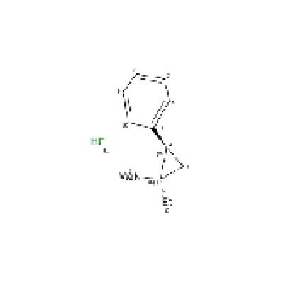 CC[C@@]1(NC)C[C@@H]1c1ccccc1.Cl